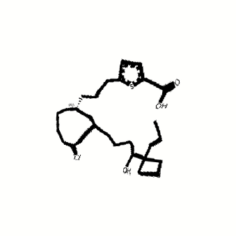 CCCC1(C(O)CCCC2C(Cl)CC[C@@H]2CCCc2ccc(C(=O)O)s2)CCC1